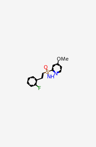 COc1ccnc(S(=N)(=O)/C=C/c2ccccc2F)c1